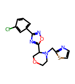 Clc1cccc(-c2noc(C3COCCN3Cc3nccs3)n2)c1